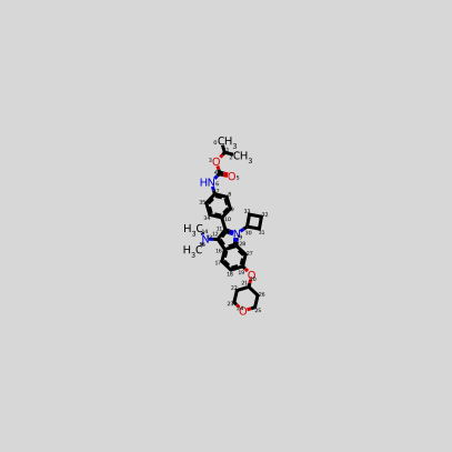 CC(C)OC(=O)Nc1ccc(-c2c(N(C)C)c3ccc(OC4CCOCC4)cc3n2C2CCC2)cc1